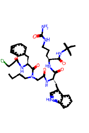 CCCCN(CC(=O)N[C@@H](Cc1c[nH]c2ccccc12)C(=O)N[C@@H](CCCNC(N)=O)C(=O)NC(C)(C)C)C(=O)[C@H](Cc1ccccc1)NC(=O)CCl